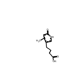 Cc1cc(=O)[nH]cc1CCCC(=O)O